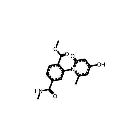 CNC(=O)c1ccc(C(=O)OC)c(-n2c(C)cc(O)cc2=O)c1